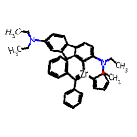 CCN(CC)c1ccc2c(c1)Cc1c-2ccc(N(CC)CC)[c]1[Zr]([C]1=CC=CC1)=[C](c1ccccc1)c1ccccc1